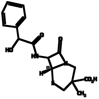 CC1(C(=O)O)CS[C@@H]2C(NC(=O)C(O)c3ccccc3)C(=O)N2C1